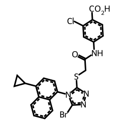 O=C(CSc1nnc(Br)n1-c1ccc(C2CC2)c2ccccc12)Nc1ccc(C(=O)O)c(Cl)c1